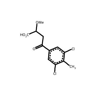 COC(CC(=O)c1cc(Cl)c(C)c(Cl)c1)C(=O)O